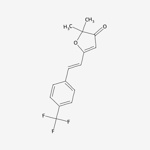 CC1(C)OC(C=Cc2ccc(C(F)(F)F)cc2)=CC1=O